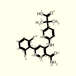 CC(C)(C(=O)O)c1ccc(Nc2cc(-c3c(F)cccc3F)nnc2C(N)=O)nc1